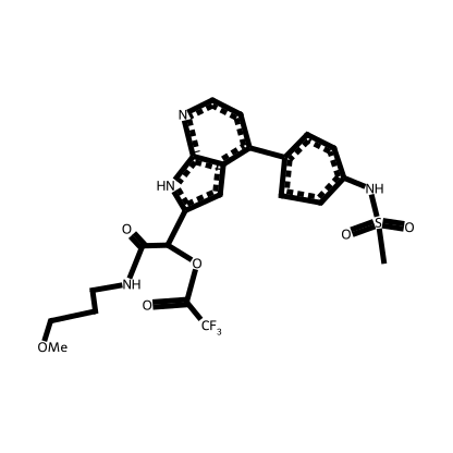 COCCCNC(=O)C(OC(=O)C(F)(F)F)c1cc2c(-c3ccc(NS(C)(=O)=O)cc3)ccnc2[nH]1